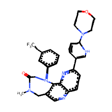 CN1Cc2cnc3ccc(C4=CNC(N5CCOCC5)C=C4)nc3c2N(c2cccc(C(F)(F)F)c2)C1=O